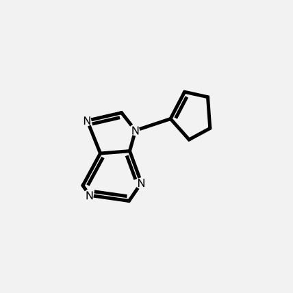 C1=C(n2cnc3cncnc32)CCC1